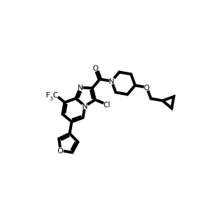 O=C(c1nc2c(C(F)(F)F)cc(-c3ccoc3)cn2c1Cl)N1CCC(OCC2CC2)CC1